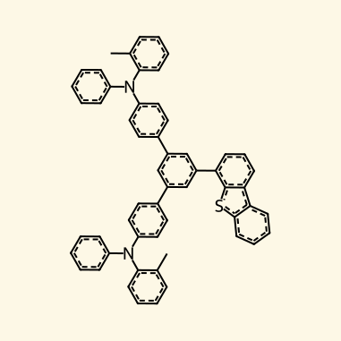 Cc1ccccc1N(c1ccccc1)c1ccc(-c2cc(-c3ccc(N(c4ccccc4)c4ccccc4C)cc3)cc(-c3cccc4c3sc3ccccc34)c2)cc1